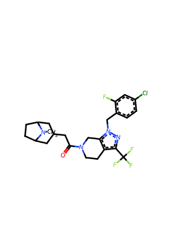 CN1C2CCC1CC(CC(=O)N1CCc3c(C(F)(F)F)nn(Cc4ccc(Cl)cc4F)c3C1)C2